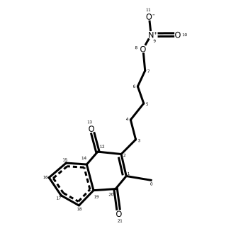 CC1=C(CCCCCO[N+](=O)[O-])C(=O)c2ccccc2C1=O